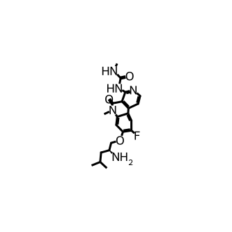 CNC(=O)Nc1nccc2c1c(=O)n(C)c1cc(OC[C@@H](N)CC(C)C)c(F)cc21